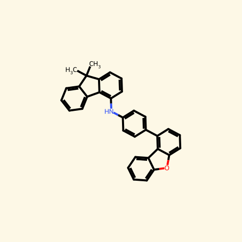 CC1(C)c2ccccc2-c2c(Nc3ccc(-c4cccc5oc6ccccc6c45)cc3)cccc21